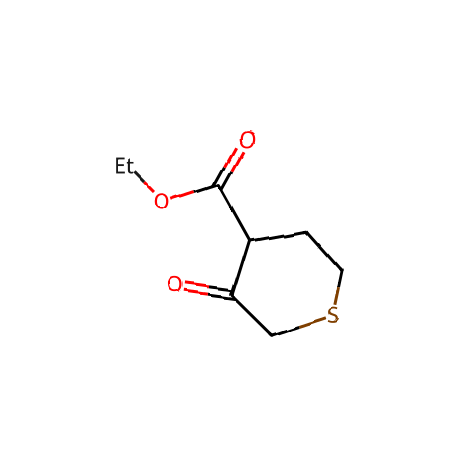 CCOC(=O)C1CCSCC1=O